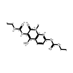 CCOC(=O)Oc1ccc2c(O)c(OC(=O)OCC)c(=O)n(C)c2n1